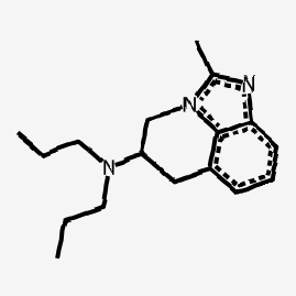 CCCN(CCC)C1Cc2cccc3nc(C)n(c23)C1